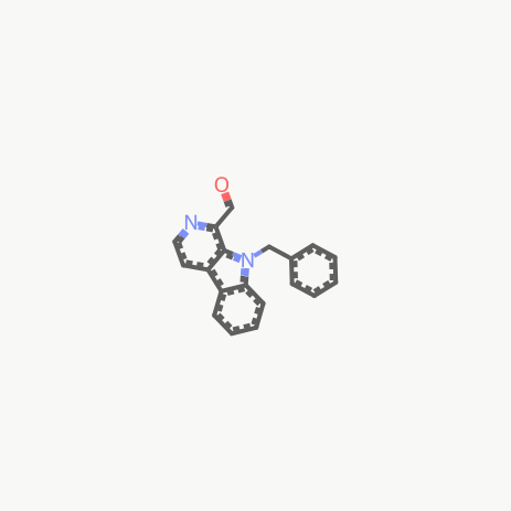 O=Cc1nccc2c3ccccc3n(Cc3ccccc3)c12